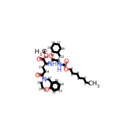 CCCCCCCOC(=O)N[C@@H](CC1CCCCC1)C(=O)N[C@@H](CCC(=O)N1CCOc2ccccc2C1)C(=O)OC